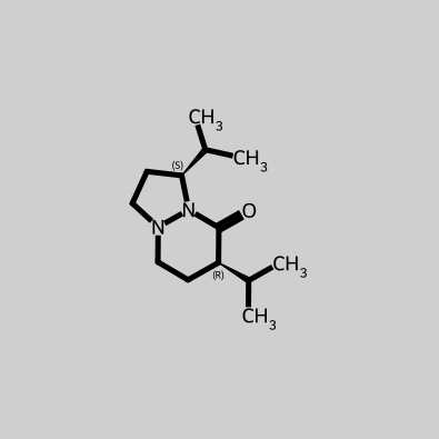 CC(C)[C@H]1CCN2CC[C@@H](C(C)C)N2C1=O